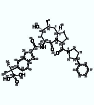 C[C@H]1C[C@H]2CC[C@@H](C(=O)N3CC[C@@H](c4ccccc4)C3)N2C(=O)[C@@H](NC(=O)c2cc3cc(C(F)(F)P(=O)(O)O)ccc3s2)C[C@@H]1O